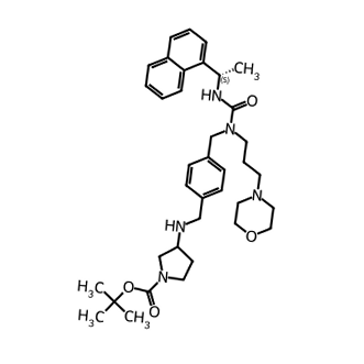 C[C@H](NC(=O)N(CCCN1CCOCC1)Cc1ccc(CNC2CCN(C(=O)OC(C)(C)C)C2)cc1)c1cccc2ccccc12